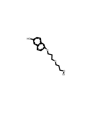 CCOCCCOCCCOc1ccc2cc(O)ccc2c1